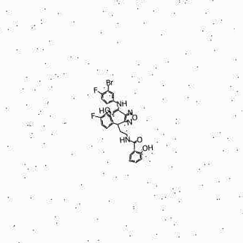 O=C(NCCC(c1ccc(F)cc1)c1nonc1C(=NO)Nc1ccc(F)c(Br)c1)c1ccccc1O